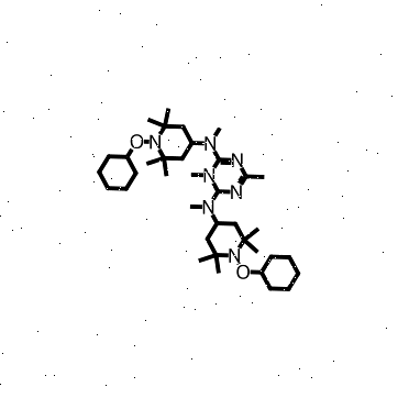 CC1=NC(N(C)C2CC(C)(C)N(OC3CCCCC3)C(C)(C)C2)N(C)C(N(C)C2CC(C)(C)N(OC3CCCCC3)C(C)(C)C2)=N1